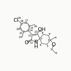 CCOC1(C)CCC2(CC1)NC(=O)C(c1c(C)cc(Cl)cc1C)=C2O